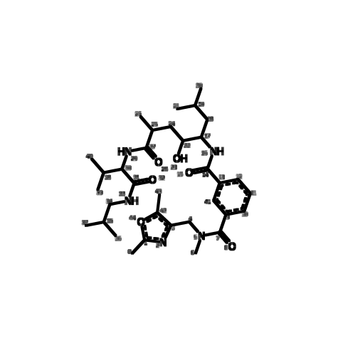 Cc1nc(CN(C)C(=O)c2cccc(C(=O)NC(CC(C)C)C(O)CC(C)C(=O)NC(C(=O)NCC(C)C)C(C)C)c2)c(C)o1